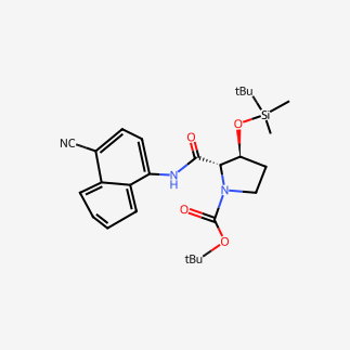 CC(C)(C)OC(=O)N1CC[C@H](O[Si](C)(C)C(C)(C)C)[C@H]1C(=O)Nc1ccc(C#N)c2ccccc12